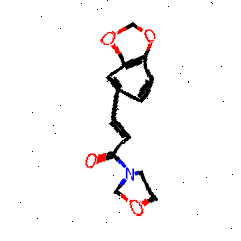 O=C(/C=C/c1ccc2c(c1)OCO2)N1CCOC1